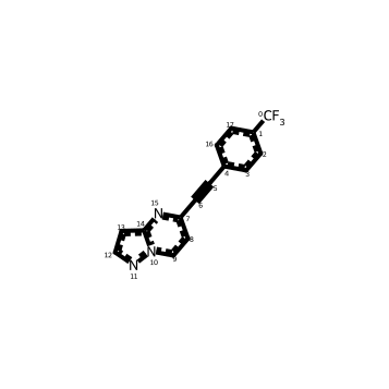 FC(F)(F)c1ccc(C#Cc2ccn3nccc3n2)cc1